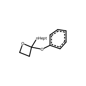 CCCCCCCC1(Oc2ccccc2)CCO1